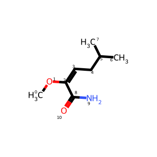 COC(=CCC(C)C)C(N)=O